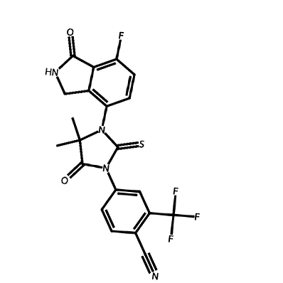 CC1(C)C(=O)N(c2ccc(C#N)c(C(F)(F)F)c2)C(=S)N1c1ccc(F)c2c1CNC2=O